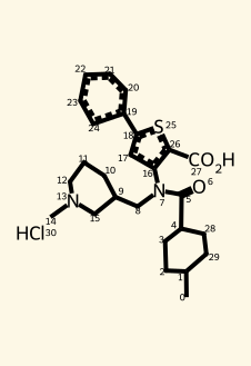 CC1CCC(C(=O)N(CC2CCCN(C)C2)c2cc(-c3ccccc3)sc2C(=O)O)CC1.Cl